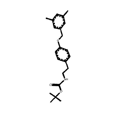 Cc1cc(C)cc(COc2ccc(CCNC(=O)OC(C)(C)C)cc2)c1